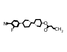 C=CCC(=O)O[C@H]1CC[C@H]([C@H]2CC[C@H](c3ccc(C#N)c(F)c3)CC2)CC1